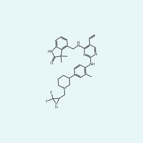 C=Cc1cnc(Nc2ccc(C3CCCN(CC4PC4(F)F)C3)cc2C)nc1NCc1cccc2c1C(C)(C)C(=O)N2